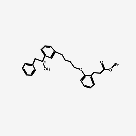 CC(C)OC(=O)CCc1ccccc1OCCCCc1cccc([C@@H](O)Cc2ccccc2)c1